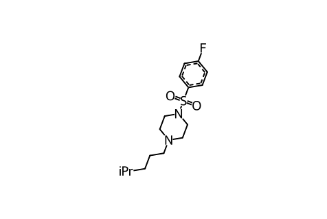 CC(C)CCCN1CCN(S(=O)(=O)c2ccc(F)cc2)CC1